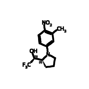 Cc1cc(N2CCC[C@@H]2[C@H](O)C(F)(F)F)ccc1[N+](=O)[O-]